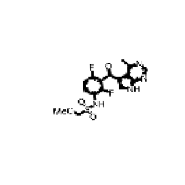 COCS(=O)(=O)Nc1ccc(F)c(C(=O)c2c[nH]c3ncnc(C)c23)c1F